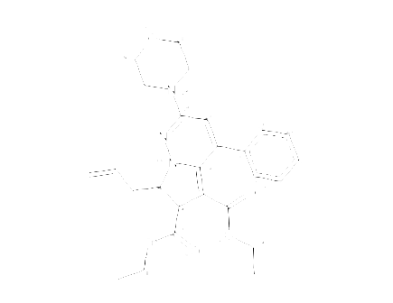 C=CCC1C(C(=O)OCC)C(C(=O)OCC)=C2C(c3ccccc3)=CC(N3CCOCC3)=NN21